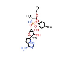 CC(NP(=O)(Oc1ccc(C(C)(C)C)cc1)OC1C2OC(C#N)(c3ccc4c(N)ncnn34)C(O)C21O)C(=O)OCC1CC1